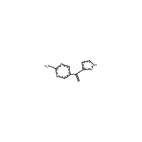 C=C(c1cnc(N)nc1)c1cc[nH]n1